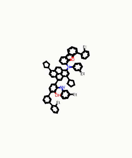 CCc1cccc(Nc2c(-c3cc4c(C5CCCC5)cc(N(c5cccc(CC)c5)c5cccc6c5oc5c(-c7ccccc7CC)cccc56)c5ccc6c(C7CCCC7)ccc3c6c45)ccc(-c3cccc(-c4ccccc4CC)c3)c2O)c1